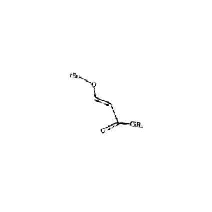 CC(C)COC(=O)C=COC(C)(C)C